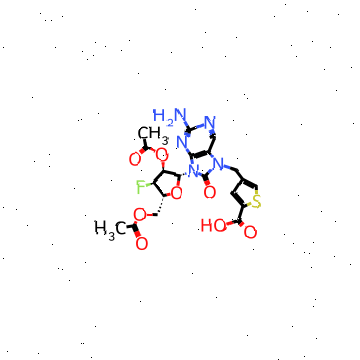 CC(=O)OC[C@H]1O[C@@H](n2c(=O)n(Cc3csc(C(=O)O)c3)c3cnc(N)nc32)[C@H](OC(C)=O)[C@@H]1F